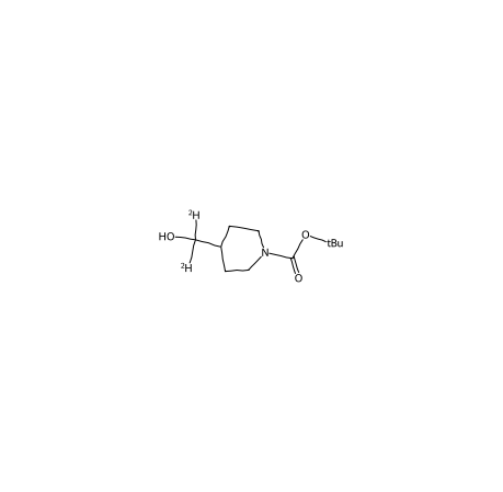 [2H]C([2H])(O)C1CCN(C(=O)OC(C)(C)C)CC1